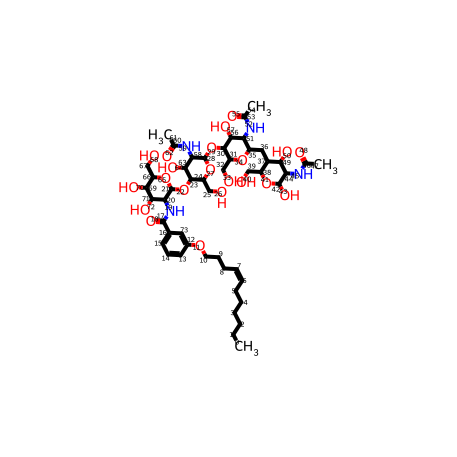 CCCCCC/C=C\CCCOc1cccc(C(=O)NC2C(OC3C(CO)OC(OC4C(CO)OC(CC5C(CO)OC(O)C(NC(C)=O)C5O)C(NC(C)=O)C4O)C(NC(C)=O)C3O)OC(CO)C(O)C2O)c1